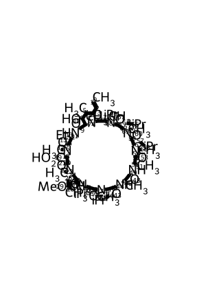 C/C=C/C[C@@H](C)[C@@H](O)[C@H]1C(=O)N[C@@H](CC)C(=O)N(C)C(C(=O)O)C(=O)N(C)[C@@H](CC(C)(C)OC)C(=O)N[C@@H](C(C)C)C(=O)N(C)[C@@H](CC(C)C)C(=O)N[C@@H](C)C(=O)N[C@H](C)C(=O)N(C)[C@@H](CC(C)C)C(=O)N(C)[C@@H](CC(C)C)C(=O)N(C)[C@@H](C(C)C)C(=O)N1C